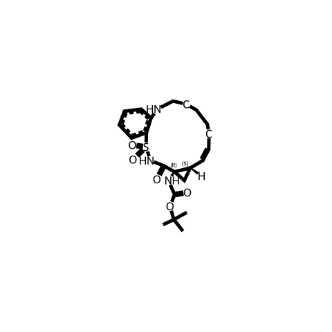 CC(C)(C)OC(=O)N[C@]12C[C@H]1C=CCCCCCNc1ccccc1S(=O)(=O)NC2=O